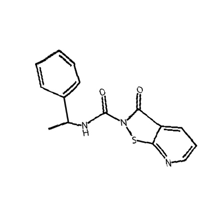 CC(NC(=O)n1sc2ncccc2c1=O)c1ccccc1